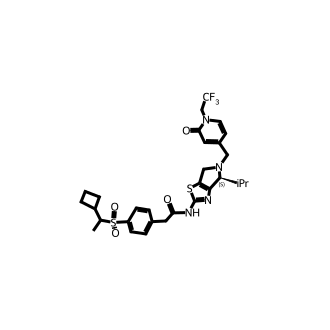 CC(C)[C@H]1c2nc(NC(=O)Cc3ccc(S(=O)(=O)C(C)C4CCC4)cc3)sc2CN1Cc1ccn(CC(F)(F)F)c(=O)c1